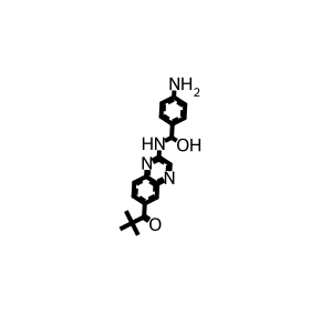 CC(C)(C)C(=O)c1ccc2nc(NC(O)c3ccc(N)cc3)cnc2c1